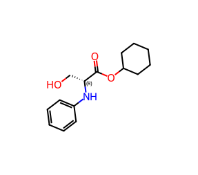 O=C(OC1CCCCC1)[C@@H](CO)Nc1ccccc1